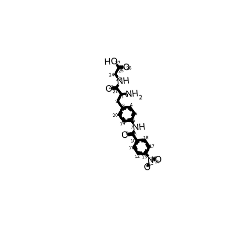 NC(Cc1ccc(NC(=O)c2ccc([N+](=O)[O-])cc2)cc1)C(=O)NCC(=O)O